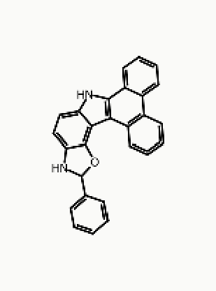 C1=C=Cc2c(c3ccccc3c3[nH]c4ccc5c(c4c23)OC(c2ccccc2)N5)C=1